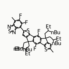 CCCCC(CC)CC1(CC(CC)CCCC)c2cc(C)sc2-c2c(F)c3c(c(F)c21)-c1sc(-c2c(F)c(F)c(C)c4nsnc24)cc1C3(CC(CC)CCCC)CC(CC)CCCC